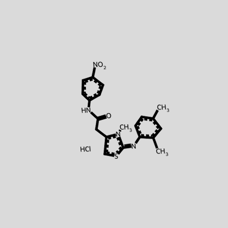 Cc1ccc(N=c2scc(CC(=O)Nc3ccc([N+](=O)[O-])cc3)n2C)c(C)c1.Cl